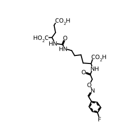 O=C(O)CCC(NC(=O)NCCCCC(NC(=O)CON=Cc1ccc(F)cc1)C(=O)O)C(=O)O